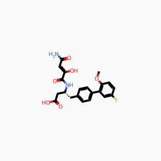 COc1ccc(F)cc1-c1ccc(C[C@H](CC(=O)O)NC(=O)/C(O)=C/C(N)=O)cc1